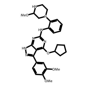 COc1ccc(-c2n[nH]c3nc(Nc4ccccc4N4CCNC(OC)C4)nc(OC4CCCC4)c23)cc1OC